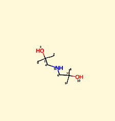 CC(C)(O)CNCC(C)(C)O